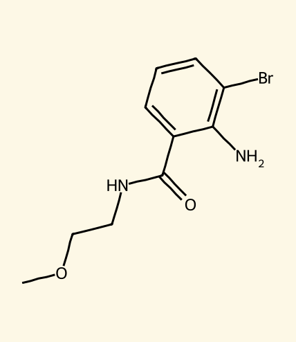 COCCNC(=O)c1cccc(Br)c1N